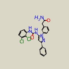 NC(=O)Cc1cccc(-n2nc(-c3ccccc3)cc2NC(=O)Nc2cccc(Cl)c2Cl)c1